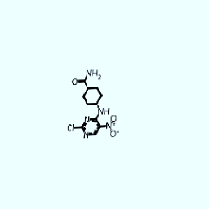 NC(=O)[C@H]1CC[C@@H](Nc2nc(Cl)ncc2[N+](=O)[O-])CC1